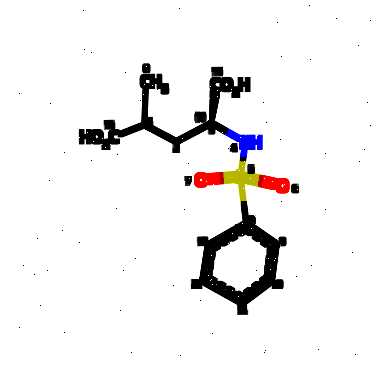 CC(C[C@H](NS(=O)(=O)c1ccccc1)C(=O)O)C(=O)O